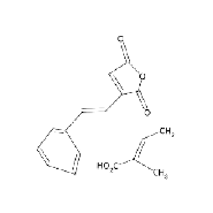 CC=C(C)C(=O)O.O=C1C=C(C=Cc2ccccc2)C(=O)O1